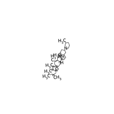 CC[C@@H](C)C[C@H]1O[C@]2(CC[C@@H]3C(=C(C)C2)C[C@H]2[C@H]3CCC3CC(N4CCCC(C)C4)CC[C@@]32C)[C@H](C)[C@@H]1C